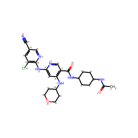 CC(=O)NC1CCC(NC(=O)c2cnc(Nc3ncc(C#N)cc3Cl)cc2NC2CCOCC2)CC1